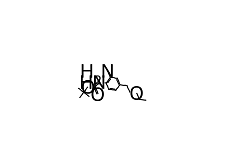 CCOCCc1ccc(NC(=O)OC(C)(C)C)c(N)c1